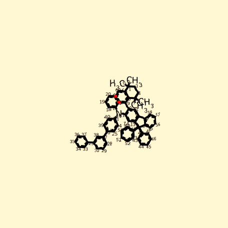 CC1(C)CCC(C)(C)c2c(-c3cc4c(cc3N(c3ccccc3)c3ccc(-c5cccc(-c6ccccc6)c5)cc3)C(c3ccccc3)(c3ccccc3)c3ccccc3-4)cccc21